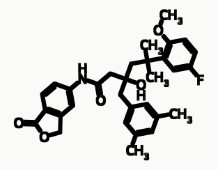 COc1ccc(F)cc1C(C)(C)CC(O)(CC(=O)Nc1ccc2c(c1)COC2=O)Cc1cc(C)cc(C)c1